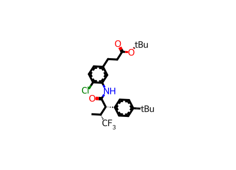 C[C@H]([C@H](C(=O)Nc1cc(CCC(=O)OC(C)(C)C)ccc1Cl)c1ccc(C(C)(C)C)cc1)C(F)(F)F